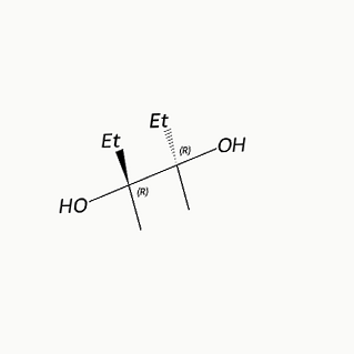 CC[C@@](C)(O)[C@](C)(O)CC